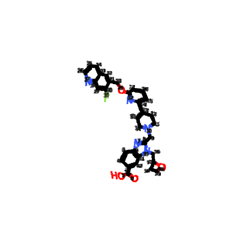 O=C(O)c1ccc2nc(CN3CCC(c4cccc(OCc5cc6cccnc6cc5F)n4)CC3)n(CC3CCO3)c2c1